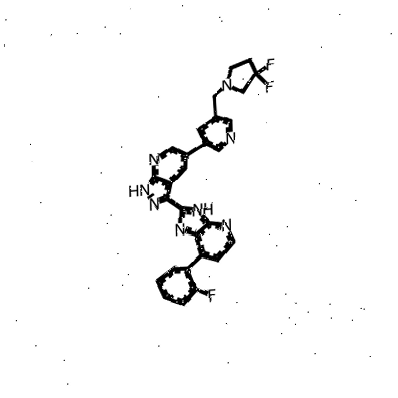 Fc1ccccc1-c1ccnc2[nH]c(-c3n[nH]c4ncc(-c5cncc(CN6CCC(F)(F)C6)c5)cc34)nc12